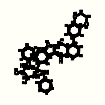 C[C@H](NC(Nc1ccccc1)(Nc1ccccc1)c1ccc2onc(Nc3cccc(-c4ccc5c(c4)OCCO5)c3Br)c2c1)C(=O)O